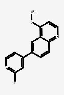 CC(C)(C)Sc1ccnc2ccc(-c3ccnc(F)c3)cc12